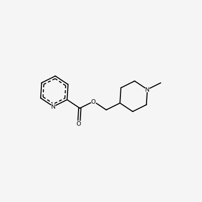 CN1CCC(COC(=O)c2ccccn2)CC1